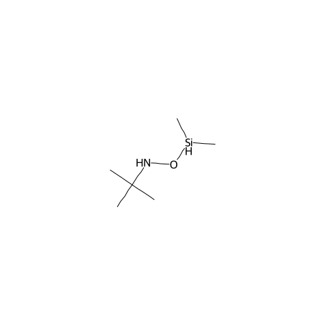 C[SiH](C)ONC(C)(C)C